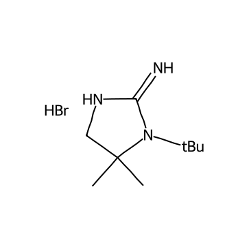 Br.CC(C)(C)N1C(=N)NCC1(C)C